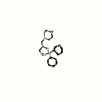 CC(C)(C)[Si](OC(CF)CN1CCNCC1)(c1ccccc1)c1ccccc1